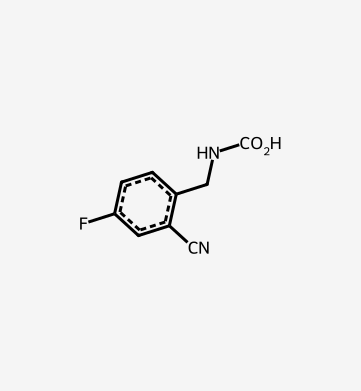 N#Cc1cc(F)ccc1CNC(=O)O